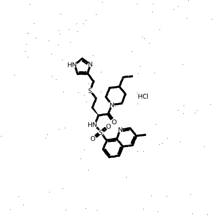 CCC1CCN(C(=O)[C@H](CCSCc2c[nH]cn2)NS(=O)(=O)c2cccc3cc(C)cnc23)CC1.Cl